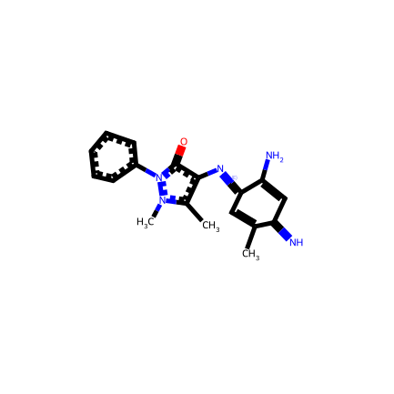 CC1=C/C(=N\c2c(C)n(C)n(-c3ccccc3)c2=O)C(N)=CC1=N